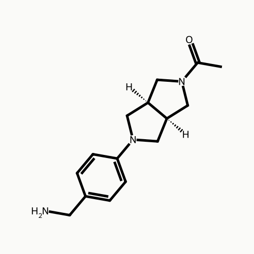 CC(=O)N1C[C@@H]2CN(c3ccc(CN)cc3)C[C@@H]2C1